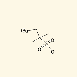 CC(C)(C)CC(C)(C)S([O])(=O)=O